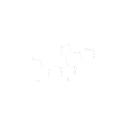 COc1cc2ncnc(-c3cn(C)nc3-c3ccccc3)c2cc1C1=CCN(C)C1